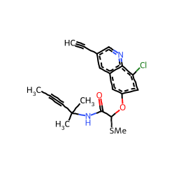 C#Cc1cnc2c(Cl)cc(OC(SC)C(=O)NC(C)(C)C#CC)cc2c1